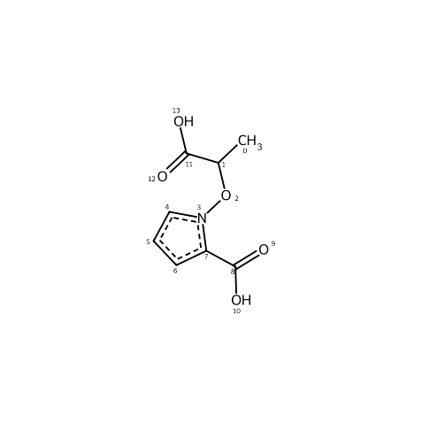 CC(On1cccc1C(=O)O)C(=O)O